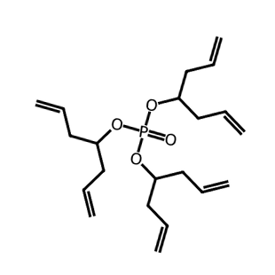 C=CCC(CC=C)OP(=O)(OC(CC=C)CC=C)OC(CC=C)CC=C